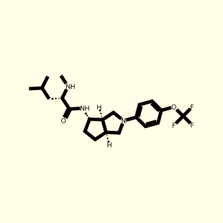 CN[C@@H](CC(C)C)C(=O)N[C@H]1CC[C@@H]2CN(c3ccc(OC(F)(F)F)cc3)C[C@@H]21